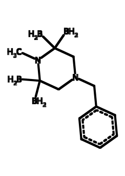 BC1(B)CN(Cc2ccccc2)CC(B)(B)N1C